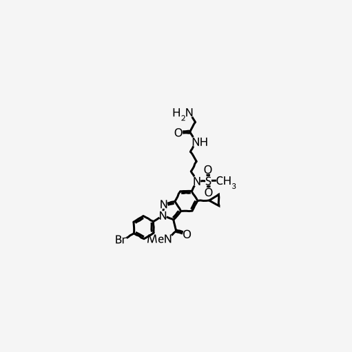 CNC(=O)c1c2cc(C3CC3)c(N(CCCNC(=O)CN)S(C)(=O)=O)cc2nn1-c1ccc(Br)cc1